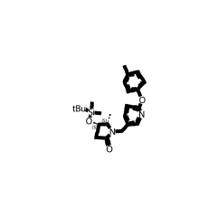 Cc1ccc(Oc2ccc(CN3C(=O)C[C@H](O[Si](C)(C)C(C)(C)C)[C@@H]3C)cn2)cc1